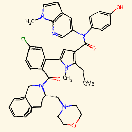 COCc1c(C(=O)N(c2ccc(O)cc2)c2cnc3c(ccn3C)c2)cc(-c2cc(Cl)ccc2C(=O)N2Cc3ccccc3C[C@H]2CN2CCOCC2)n1C